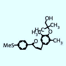 CSc1ccc(C(=O)/C=C\c2cc(C)c(OC(C)(C)CO)c(C)c2)cc1